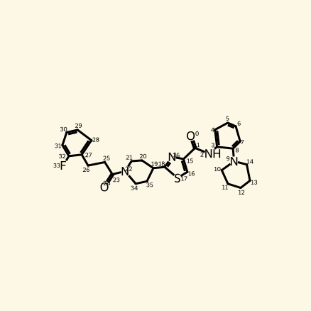 O=C(Nc1ccccc1N1CCCCC1)c1csc(C2CCN(C(=O)CCc3ccccc3F)CC2)n1